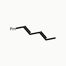 CC=CC=[CH][Pm]